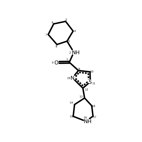 O=C(NC1CCCCC1)c1csc(C2CCNCC2)n1